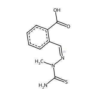 CN(/N=C\c1ccccc1C(=O)O)C(N)=S